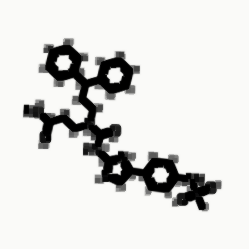 CS(=O)(=O)Nc1ccc(-c2csc(NC(=O)N(CCC(=O)O)CCC(c3ccccc3)c3ccccc3)n2)cc1